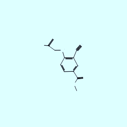 COC(=O)c1ccc(OCC(=O)O)c(C#N)c1